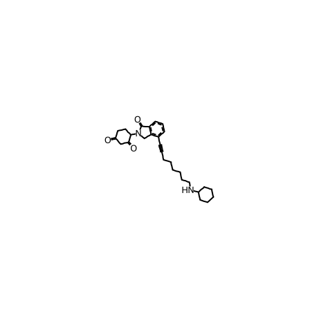 O=C1CCC(N2Cc3c(C#CCCCCCCNC4CCCCC4)cccc3C2=O)C(=O)C1